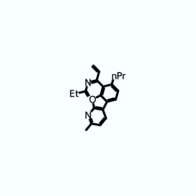 C=C/C(=N/C(=C)CC)c1c(CCC)ccc2c1oc1nc(C)ccc12